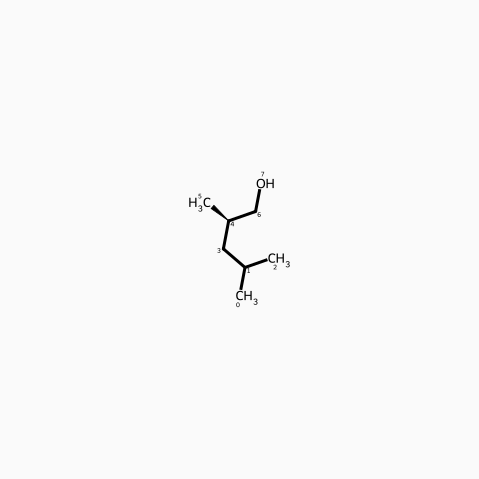 CC(C)C[C@@H](C)CO